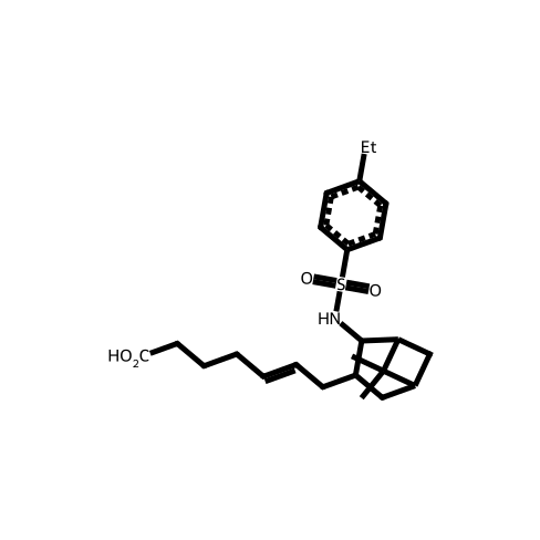 CCc1ccc(S(=O)(=O)NC2C(C/C=C/CCCC(=O)O)CC3CC2C3(C)C)cc1